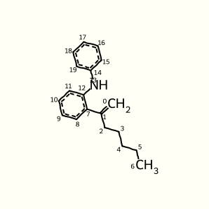 C=C(CCCCC)c1ccccc1Nc1ccccc1